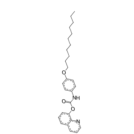 CCCCCCCCCCCOc1ccc(NC(=O)Oc2cccc3cccnc23)cc1